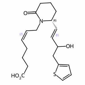 O=C(O)CCC/C=C\CN1C(=O)CCC[C@@H]1/C=C/C(O)Cc1cccs1